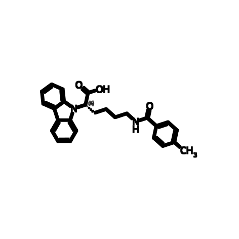 Cc1ccc(C(=O)NCCCC[C@@H](C(=O)O)n2c3ccccc3c3ccccc32)cc1